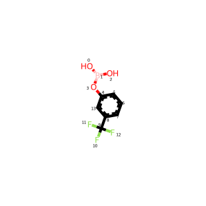 OB(O)Oc1cccc(C(F)(F)F)c1